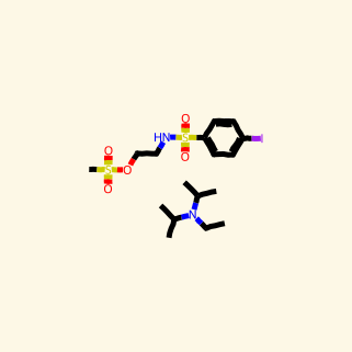 CCN(C(C)C)C(C)C.CS(=O)(=O)OCCNS(=O)(=O)c1ccc(I)cc1